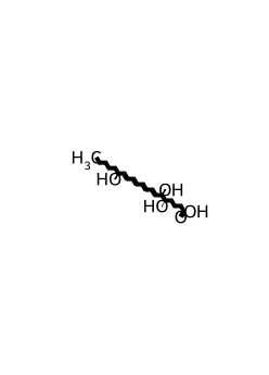 CCCCC[C@H](O)/C=C/C=C/C=C/C=C/[C@@H](O)[C@@H](O)CCCC(=O)O